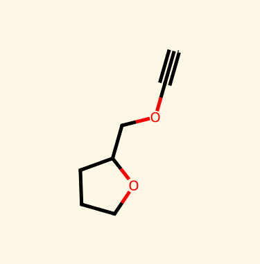 [C]#COCC1CCCO1